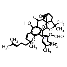 CC(C)=CCC[C@]1(C)C=Cc2c(O)c3c(c(CC=C(C)C)c2O1)O[C@]12C(=CC4CC1C(C)(C)OC2(C/C=C(/CO)OC=O)C4=O)C3=O